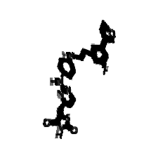 O=C1NC(=O)/C(=C/c2ccnc(N[C@H]3CC[C@H](NCCc4cc(F)cc(-c5ccoc5)c4)CC3)n2)S1